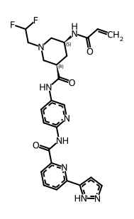 C=CC(=O)N[C@H]1C[C@@H](C(=O)Nc2ccc(NC(=O)c3cccc(-c4ccn[nH]4)n3)nc2)CN(CC(F)F)C1